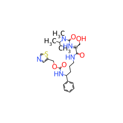 CC(C)N(C)C(=O)N[C@@H](CO)C(=O)NCCCC(NC(=O)OCc1cncs1)c1ccccc1